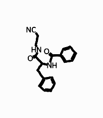 N#CCCNC(=O)C(Cc1ccccc1)NC(=O)c1ccccc1